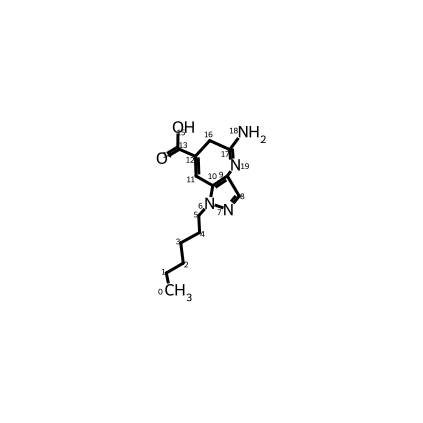 CCCCCCn1ncc2c1C=C(C(=O)O)CC(N)=N2